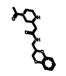 CC(=O)N1CCNC(CC(=O)NCC2COc3ccccc3O2)C1